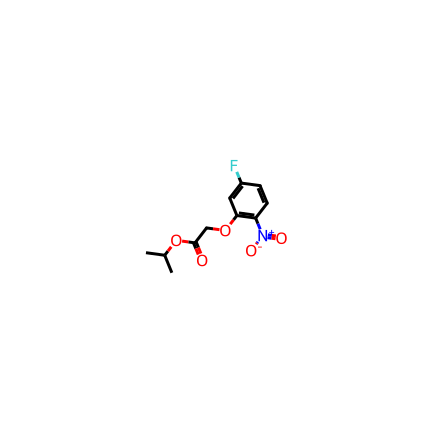 CC(C)OC(=O)COc1cc(F)ccc1[N+](=O)[O-]